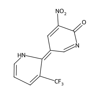 O=C1N=CC(=C2NC=CC=C2C(F)(F)F)C=C1[N+](=O)[O-]